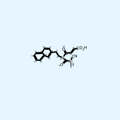 CCN(C#N)C(=O)N(CCc1ccc2ccccc2c1)C(=O)C=CC(=O)O